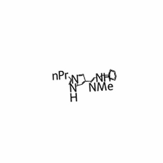 CCCC1=CNC2C=C(/C(=C/NCc3ccccc3)NC)C=CN12